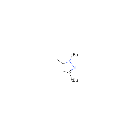 Cc1cc(C(C)(C)C)nn1C(C)(C)C